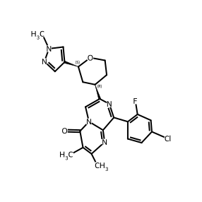 Cc1nc2c(-c3ccc(Cl)cc3F)nc([C@@H]3CCO[C@H](c4cnn(C)c4)C3)cn2c(=O)c1C